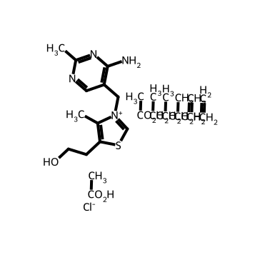 C=C.C=C.CC(=O)O.CC(=O)O.CC(=O)O.CC(=O)O.CC(=O)O.Cc1ncc(C[n+]2csc(CCO)c2C)c(N)n1.[Cl-]